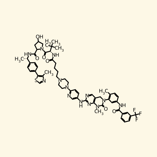 Cc1ccc(NC(=O)c2cccc(C(F)(F)F)c2)cc1N1Cc2cnc(Nc3ccc(N4CCN(CCCCC(=O)N[C@H](C(=O)N5CC(O)CC5C(=O)N[C@@H](C)c5ccc(-c6scnc6C)cc5)C(C)(C)C)CC4)nc3)nc2N(C)C1=O